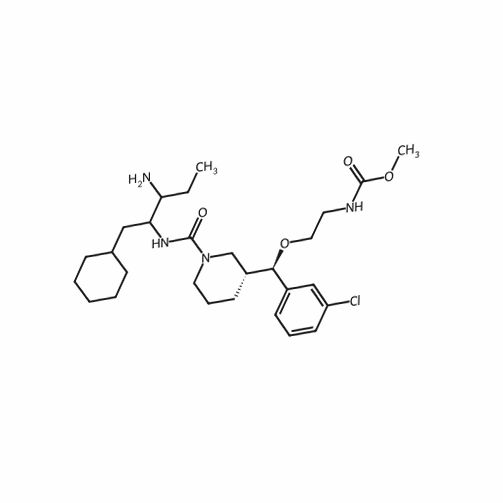 CCC(N)C(CC1CCCCC1)NC(=O)N1CCC[C@@H]([C@@H](OCCNC(=O)OC)c2cccc(Cl)c2)C1